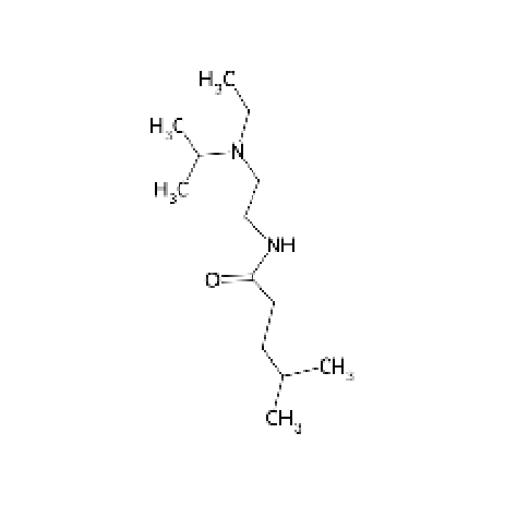 CCN(CCNC(=O)CCC(C)C)C(C)C